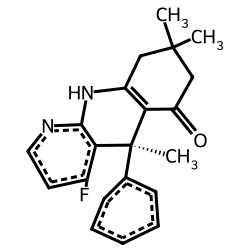 CC1(C)CC(=O)C2=C(C1)Nc1nccc(F)c1[C@]2(C)c1ccccc1